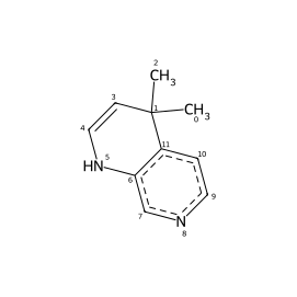 CC1(C)C=CNc2cnccc21